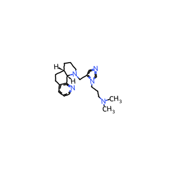 CN(C)CCCn1cncc1CN1CCC[C@H]2CCc3cccnc3[C@H]21